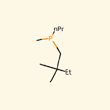 CCCP(C)CC(C)(C)CC